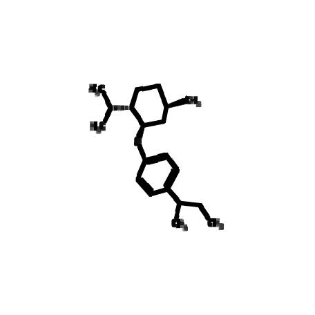 CCC(C)c1ccc(O[C@@H]2C[C@H](C)CC[C@H]2C(C)C)cc1